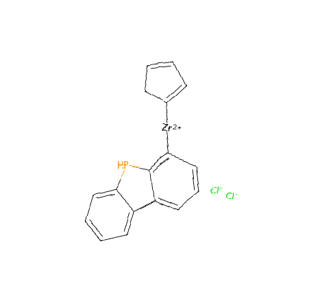 C1=CC[C]([Zr+2][c]2cccc3c2[pH]c2ccccc23)=C1.[Cl-].[Cl-]